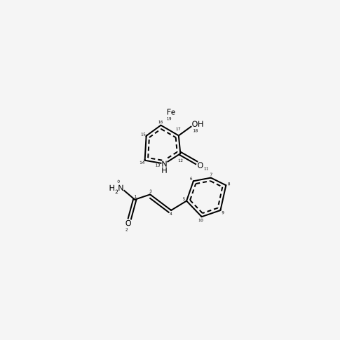 NC(=O)C=Cc1ccccc1.O=c1[nH]cccc1O.[Fe]